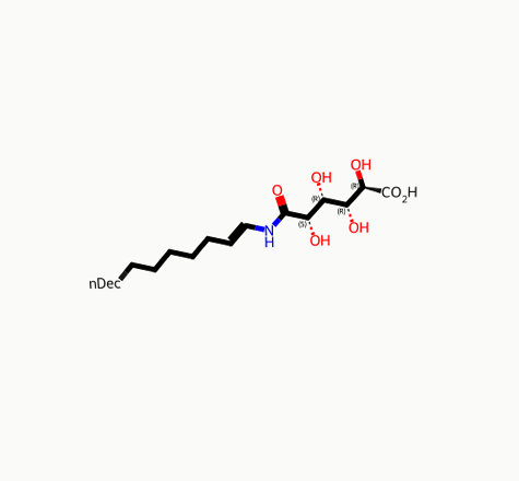 CCCCCCCCCCCCCCCC=CNC(=O)[C@@H](O)[C@H](O)[C@@H](O)[C@@H](O)C(=O)O